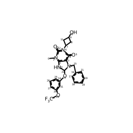 Cn1c2c(c(=O)n(C3CC(O)C3)c1=O)N(Cc1ccccc1)C(Oc1cccc(OC(F)(F)F)c1)N2